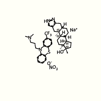 CN(C)CCCN1c2ccccc2Sc2ccc(C(F)(F)F)cc21.C[C@]12Cc3c[nH]nc3C[C@@H]1CC[C@@H]1[C@@H]2CC[C@@]2(C)[C@H]1CC[C@]2(C)O.O=[N+]([O-])[O-].[Na+]